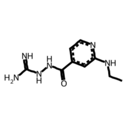 CCNc1cc(C(=O)NNC(=N)N)ccn1